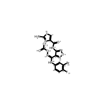 Nc1nc(C(=O)Nc2nonc2/C(=N\OC(=O)C(F)(F)F)Nc2ccc(F)c(Br)c2)cs1